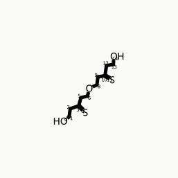 OCCC(=S)CCOCCC(=S)CCO